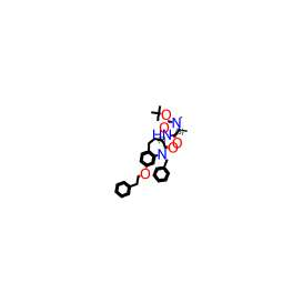 C[C@@H](C(=O)N[C@H]1CCc2ccc(OCCc3ccccc3)cc2N(Cc2ccccc2)C1=O)N(C)C(=O)OC(C)(C)C